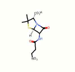 CC1(C)S[C@@H]2[C@H](NC(=O)CC[N+](=O)[O-])C(=O)N2[C@H]1C(=O)O